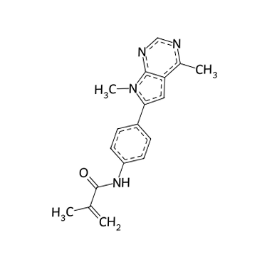 C=C(C)C(=O)Nc1ccc(-c2cc3c(C)ncnc3n2C)cc1